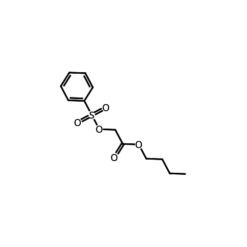 CCCCOC(=O)COS(=O)(=O)c1ccccc1